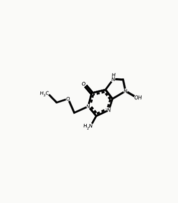 CCOCn1c(N)nc2c(c1=O)NCN2O